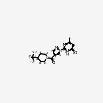 Cc1cc(=O)[nH]c(-n2cc(C(=O)N3CCC(C(F)(F)F)CC3)cn2)n1